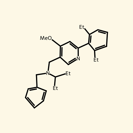 CCc1cccc(CC)c1-c1cc(OC)c(CN(Cc2ccccc2)C(CC)CC)cn1